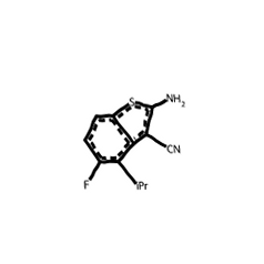 CC(C)c1c(F)ccc2sc(N)c(C#N)c12